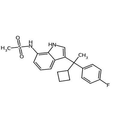 CC(c1ccc(F)cc1)(c1c[nH]c2c(NS(C)(=O)=O)cccc12)C1CCC1